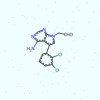 Nc1ncnc2c1c(-c1cccc(Cl)c1Cl)cn2CC=O